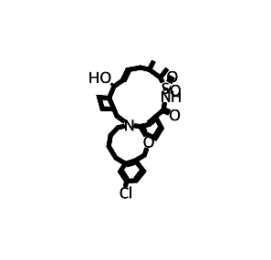 CC1C/C=C/[C@H](O)C2CCC2CN2CCCCc3cc(Cl)ccc3COc3ccc(cc32)C(=O)NS(=O)(=O)C1C